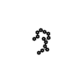 c1ccc(-c2ccc(-n3c4ccccc4c4cc(-c5ccc6c(c5)c5ccccc5n6-c5cccc(-c6cccc(-c7ccc(-c8cccc(-c9cccc(-c%10cccc(-c%11ccccc%11)c%10)c9)c8)cc7)c6)c5)ccc43)cc2)cc1